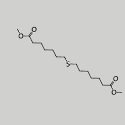 COC(=O)CCCCCCSCCCCCCC(=O)OC